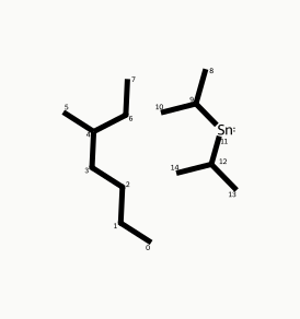 CCCCC(C)CC.C[CH](C)[Sn][CH](C)C